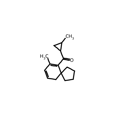 CC1=C(C(=O)C2CC2C)C2(CC=C1)CCCC2